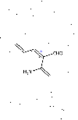 C=C/C=C(/C=O)C(=C)N